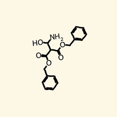 NC(O)C(C(=O)OCc1ccccc1)C(=O)OCc1ccccc1